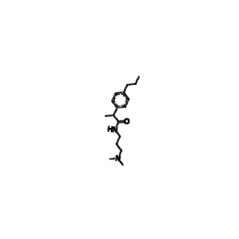 CCCc1ccc(C(C)C(=O)NCCCN(C)C)cc1